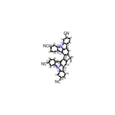 CC1(C)c2cc3c4ccc(C#N)cc4n4c5cc(C#N)ccc5c(c2-c2c1cc1c5ccc(C#N)cc5n5c6cc(C#N)ccc6c2c15)c34